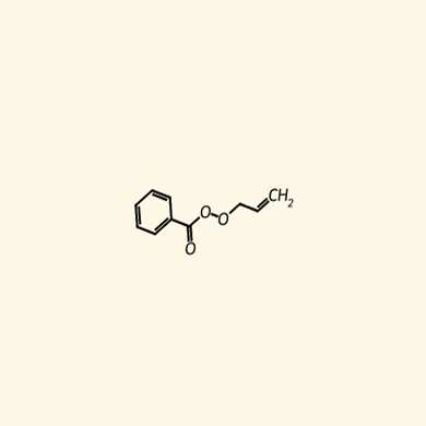 C=CCOOC(=O)c1ccccc1